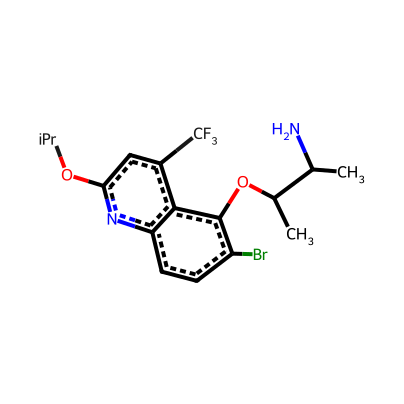 CC(C)Oc1cc(C(F)(F)F)c2c(OC(C)C(C)N)c(Br)ccc2n1